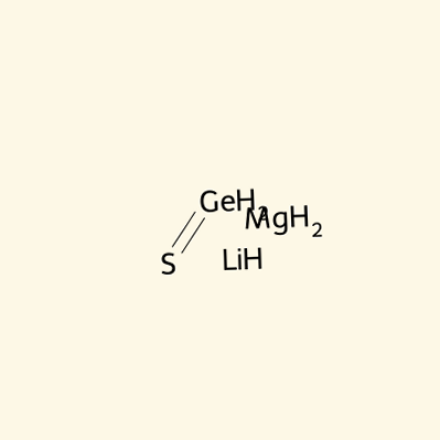 [LiH].[MgH2].[S]=[GeH2]